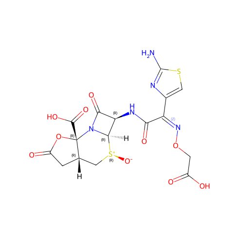 Nc1nc(/C(=N/OCC(=O)O)C(=O)N[C@@H]2C(=O)N3[C@@H]2[S@@+]([O-])C[C@@H]2CC(=O)O[C@@]23C(=O)O)cs1